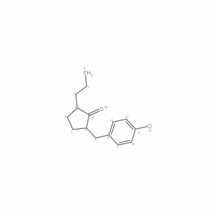 CCCC1CCC(Cc2ccc(Cl)cc2)C1=O